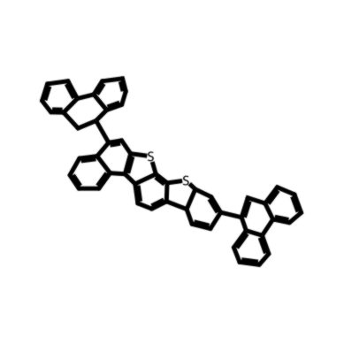 C1=CC2c3ccc4c(sc5cc(C6Cc7ccccc7-c7ccccc76)c6ccccc6c54)c3SC2C=C1c1cc2ccccc2c2ccccc12